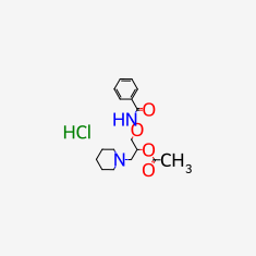 CC(=O)OC(CONC(=O)c1ccccc1)CN1CCCCC1.Cl